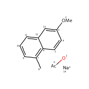 CC(=O)[O-].COc1ccc2c(C)cccc2c1.[Na+]